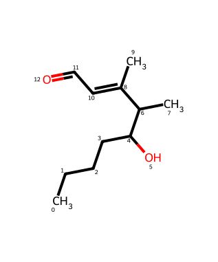 CCCCC(O)C(C)C(C)=CC=O